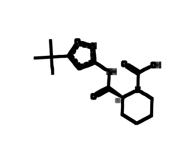 CC(C)(C)c1cc(NC(=O)[C@@H]2CCCCN2C(=O)O)no1